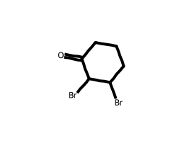 O=C1CCCC(Br)C1Br